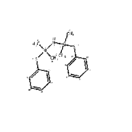 C[Si](C)(N[Si](C)(C)Sc1ccccc1)Sc1ccccc1